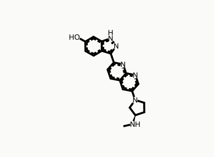 CN[C@@H]1CCN(c2cnc3nc(-c4n[nH]c5cc(O)ccc45)ccc3c2)C1